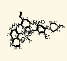 C=Cc1cnc(Nc2cc(CC)c(N3CCN(C)CC3)cc2OC)nc1Nc1ccc2nccnc2c1NS(C)(=O)=O